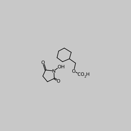 O=C(O)OCC1CCCCC1.O=C1CCC(=O)N1O